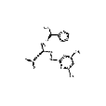 COC(=O)c1cccs1.Cc1cc(C)nc(NNC(N)=[N+]=S(=O)=O)n1